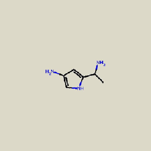 CC(N)c1cc(N)c[nH]1